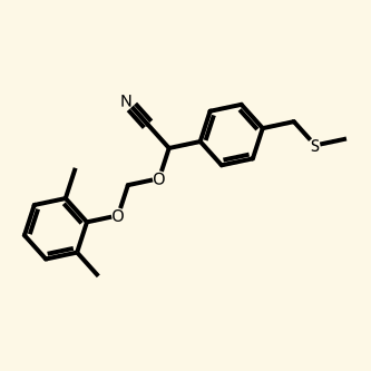 CSCc1ccc(C(C#N)OCOc2c(C)cccc2C)cc1